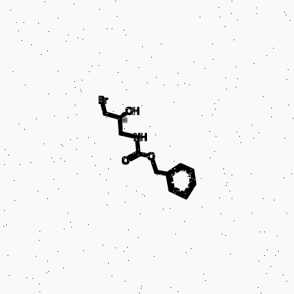 O=C(NC[C@H](O)CBr)OCc1ccccc1